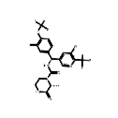 C[C@@H]1C(=O)NCCN1C(=O)N[C@@H](c1ccc(OC(F)(F)F)c(Cl)c1)c1cnc(C(F)(F)F)c(Cl)c1